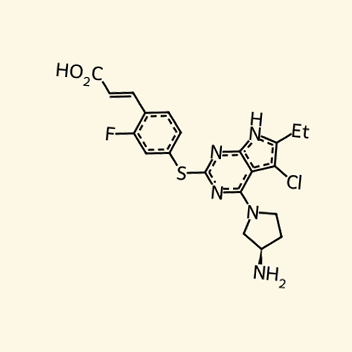 CCc1[nH]c2nc(Sc3ccc(/C=C/C(=O)O)c(F)c3)nc(N3CC[C@@H](N)C3)c2c1Cl